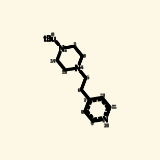 CC(C)(C)N1CCN(CCc2ccncc2)CC1